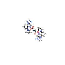 O=C(/C=C/C(=O)ON(CC1=NCCN1)c1ccccc1-n1cccc1)ON(CC1=NCCN1)c1ccccc1-n1cccc1